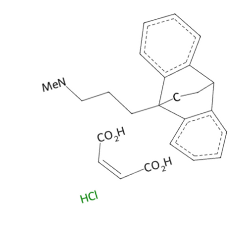 CNCCCC12CCC(c3ccccc31)c1ccccc12.Cl.O=C(O)/C=C\C(=O)O